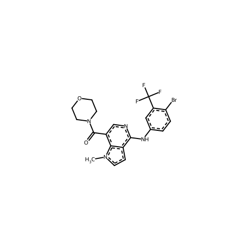 Cn1ccc2c(Nc3ccc(Br)c(C(F)(F)F)c3)ncc(C(=O)N3CCOCC3)c21